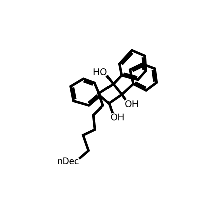 CCCCCCCCCCCCCCCCC(O)(c1ccccc1)C(O)(c1ccccc1)C(O)c1ccccc1